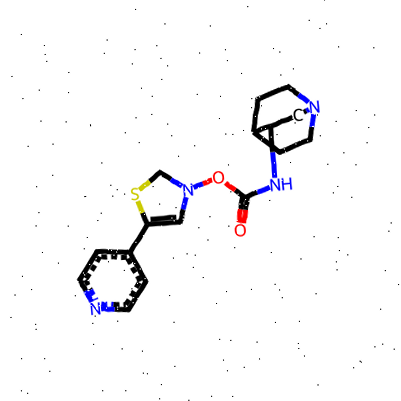 O=C(NC1CN2CCC1CC2)ON1C=C(c2ccncc2)SC1